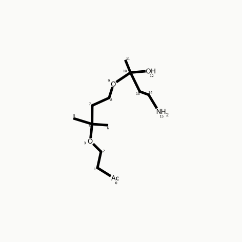 CC(=O)CCOC(C)(C)CCOC(C)(O)CCN